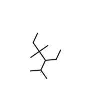 CCC([C](C)C)C(C)(C)CC